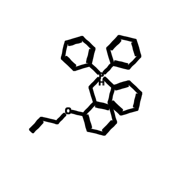 C=CCOc1ccccc1C[PH](c1ccccc1)(c1ccccc1)c1ccccc1